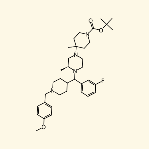 COc1ccc(CN2CCC(C(c3cccc(F)c3)N3CCN(C4(C)CCN(C(=O)OC(C)(C)C)CC4)C[C@@H]3C)CC2)cc1